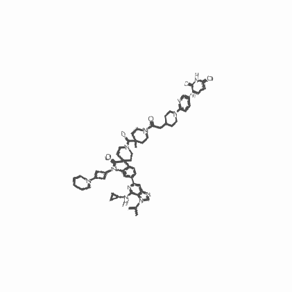 CC(C)n1cnc2cc(-c3ccc4c(c3)N(C3CC(N5CCCCC5)C3)C(=O)C43CCN(C(=O)C4(C)CCN(C(=O)CC5CCN(c6ccc([C@H]7CCC(=O)NC7=O)cn6)CC5)CC4)CC3)nc(NC3CC3)c21